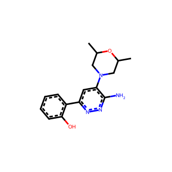 CC1CN(c2cc(-c3ccccc3O)nnc2N)CC(C)O1